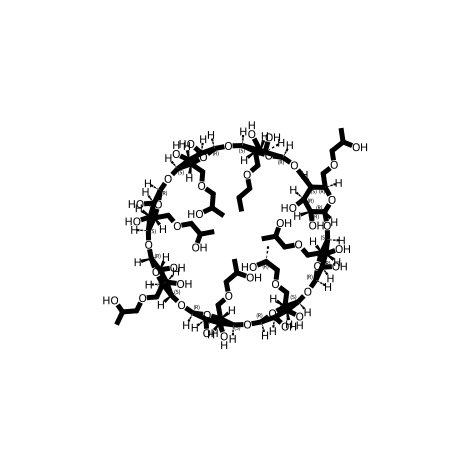 CCCOC[C@H]1O[C@@H]2O[C@H]3[C@H](O)[C@@H](O)[C@@H](O[C@H]4[C@H](O)[C@@H](O)[C@@H](O[C@H]5[C@H](O)[C@@H](O)[C@@H](O[C@H]6[C@H](O)[C@@H](O)[C@@H](O[C@H]7[C@H](O)[C@@H](O)[C@@H](O[C@H]8[C@H](O)[C@@H](O)[C@@H](O[C@H]9[C@H](O)[C@@H](O)[C@@H](O[C@H]1[C@H](O)[C@H]2O)O[C@@H]9COCC(C)O)O[C@@H]8COCC(C)O)O[C@@H]7COCC(C)O)O[C@@H]6COCC(C)O)O[C@@H]5COC[C@@H](C)O)O[C@@H]4COCC(C)O)O[C@@H]3COCC(C)O